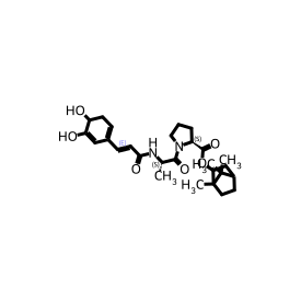 C[C@H](NC(=O)/C=C/C1=CCC(O)C(O)=C1)C(=O)N1CCC[C@H]1C(=O)OC1CC2CCC1(C)C2(C)C